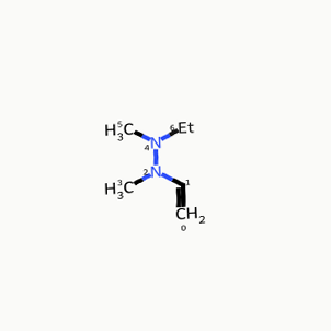 C=CN(C)N(C)CC